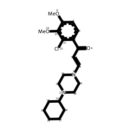 COc1ccc(C(=O)C=CN2CCN(C3CCCCC3)CC2)c(Cl)c1OC